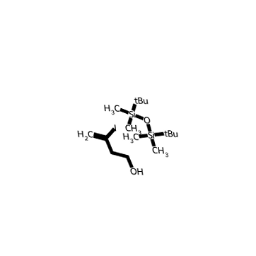 C=C(I)CCO.CC(C)(C)[Si](C)(C)O[Si](C)(C)C(C)(C)C